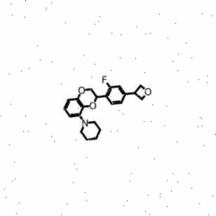 Fc1cc(C2COC2)ccc1C1COc2cccc(N3CCCCC3)c2O1